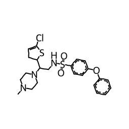 CN1CCN(C(CNS(=O)(=O)c2ccc(Oc3ccccc3)cc2)C2CC=C(Cl)S2)CC1